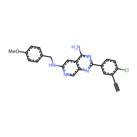 C#Cc1cc(-c2nc(N)c3cc(NCc4ccc(OC)cc4)ncc3n2)ccc1Cl